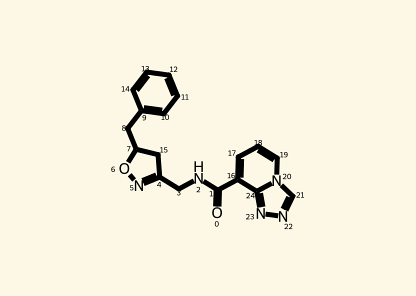 O=C(NCC1=NOC(Cc2ccccc2)C1)c1cccn2cnnc12